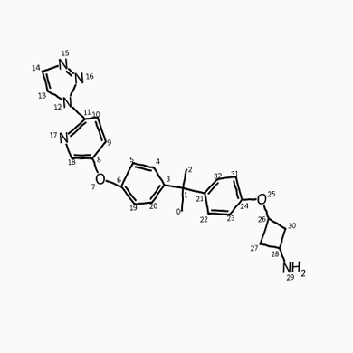 CC(C)(c1ccc(Oc2ccc(-n3ccnn3)nc2)cc1)c1ccc(OC2CC(N)C2)cc1